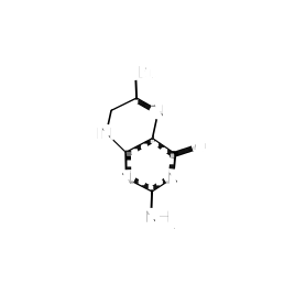 CCC(C)C1=Nc2c(nc(N)[nH]c2=O)NC1